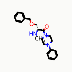 CN[C@H](COCc1ccccc1)C(=O)N1CCN(c2ccccc2)CC1